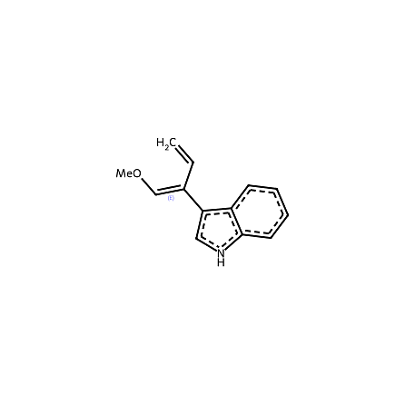 C=C/C(=C\OC)c1c[nH]c2ccccc12